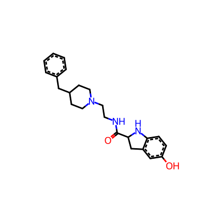 O=C(NCCN1CCC(Cc2ccccc2)CC1)C1Cc2cc(O)ccc2N1